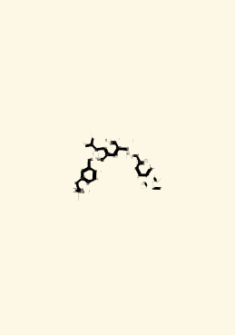 CCS(=O)(=O)c1ccc(CNC(=O)c2cnc3c(c2)CN(Cc2ccc4c(c2)CC(F)(F)O4)C3C(C)C)nc1